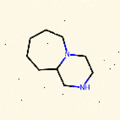 C1CC[C]2CNCCN2CC1